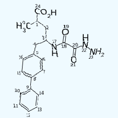 CC(CC(Cc1ccc(-c2ccccc2)cc1)NC(=O)C(=O)NN)C(=O)O